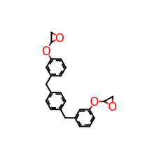 c1cc(Cc2ccc(Cc3cccc(OC4CO4)c3)cc2)cc(OC2CO2)c1